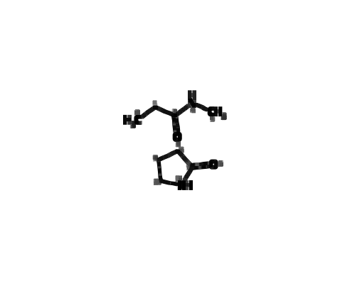 CCC(=O)NC.O=C1CCCN1